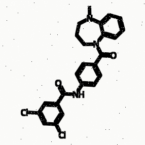 CN1CCCN(C(=O)c2ccc(NC(=O)c3cc(Cl)cc(Cl)c3)cc2)c2ccccc21